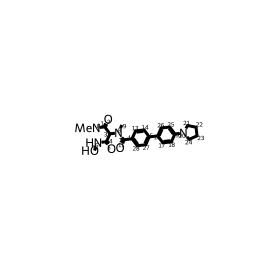 CNC(=O)C(C(=O)NO)N(C)C(=O)c1ccc(-c2ccc(N3CCCC3)cc2)cc1